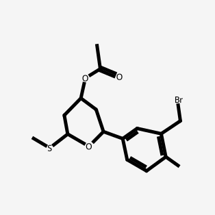 CSC1CC(OC(C)=O)CC(c2ccc(C)c(CBr)c2)O1